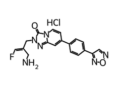 Cl.NC/C(=C\F)Cn1nc2cc(-c3ccc(-c4cnon4)cc3)ccn2c1=O